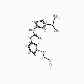 CC(C)c1cnc(NC(=O)Cc2cccc(OCCCl)c2)s1